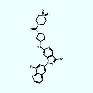 O=C([C@@H]1CC[C@@H](Nc2ncc3c(Br)nn(-c4cc(F)c5ncccc5c4)c3n2)C1)N1CCS(=O)(=O)CC1